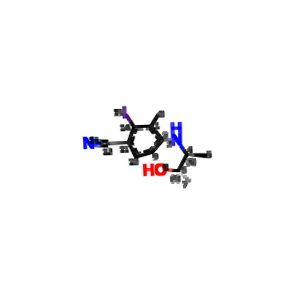 Cc1c(N[C@@H](C)[C@H](C)O)ccc(C#N)c1I